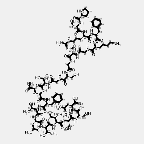 CC[C@H](C)[C@H](NC(=O)[C@@H](NC(=O)[C@H](CC(C)C)NC(=O)[C@@H](NC(=O)[C@H](Cc1ccccc1)NC(=O)[C@H](CCC(N)=O)NC(=O)[C@@H](NC(=O)CNC(=O)[C@H](CO)NC(=O)CNC(=O)[C@H](CO)NC(=O)CNC(=O)[C@H](CCCCN)NC(=O)[C@H](Cc1ccccc1)NC(=O)[C@H](CCCNC(=N)N)NC(=O)[C@H](CO)NC(=O)[C@@H]1CCCN1)[C@@H](C)O)[C@@H](C)O)[C@@H](C)O)C(=O)N[C@@H](CO)C(=O)N[C@@H](CO)C(=O)N[C@@H](CC(C)C)C(=O)O